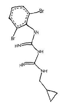 N=C(NCC1CC1)NC(=N)Nc1c(Br)cccc1Br